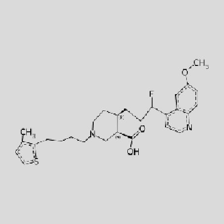 COc1ccc2nccc(C(F)CC[C@@H]3CCN(CCCCc4sccc4C)C[C@@H]3C(=O)O)c2c1